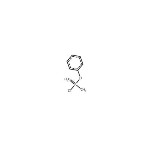 C=P(C)(Cl)Oc1ccccc1